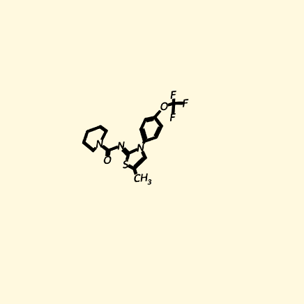 Cc1cn(-c2ccc(OC(F)(F)F)cc2)c(=NC(=O)N2CCCCC2)s1